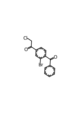 O=C(CCl)c1ccc(C(=O)c2ccccc2)c(Br)c1